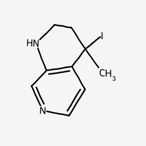 CC1(I)CCNc2cnccc21